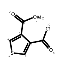 COC(=O)c1cscc1C(=O)Cl